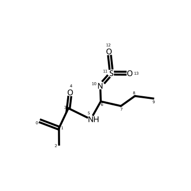 C=C(C)C(=O)NC(CCC)N=S(=O)=O